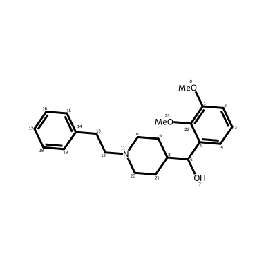 COc1cccc(C(O)C2CCN(CCc3ccccc3)CC2)c1OC